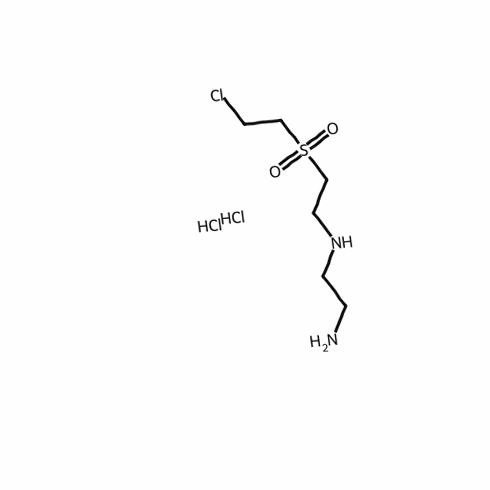 Cl.Cl.NCCNCCS(=O)(=O)CCCl